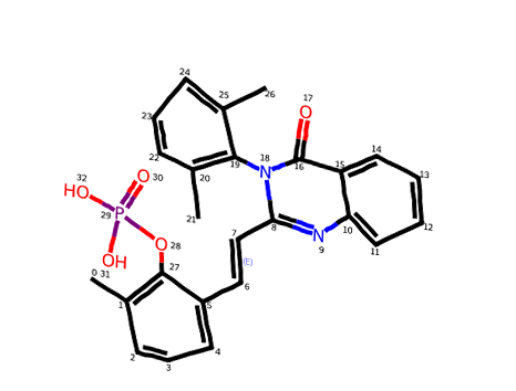 Cc1cccc(/C=C/c2nc3ccccc3c(=O)n2-c2c(C)cccc2C)c1OP(=O)(O)O